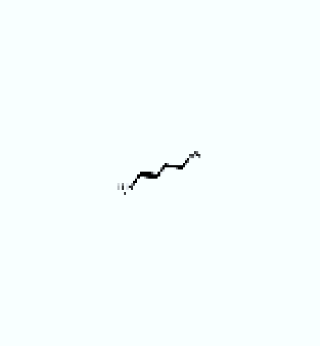 CCCCCC=CN